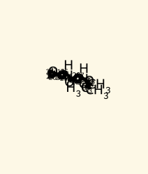 CC(C)(C)S(=O)(=O)Nc1ccc(C(=O)Nc2ccc(-c3ccco3)cc2)cc1